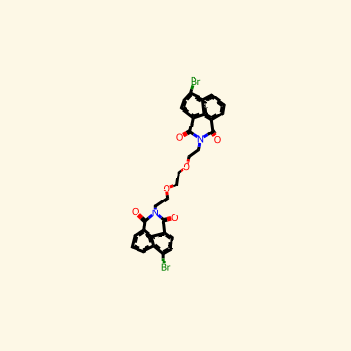 O=C1c2cccc3c(Br)ccc(c23)C(=O)N1CCOCCOCCN1C(=O)c2cccc3c(Br)ccc(c23)C1=O